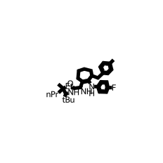 CCCC(C)(CC)C(NC(=O)C(=N)C1=C(Nc2ccc(F)cc2)C(Cc2ccc(C)cc2)CCCC1)C(C)(C)C